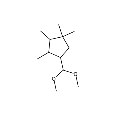 COC(OC)C1CC(C)(C)C(C)C1C